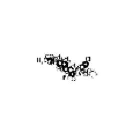 CC(=O)O[C@@H](CN(CCN(C)C)Cc1cccc(Cl)c1)[C@@]12CC[C@]3(C)[C@H](CC[C@@H]4[C@@]5(C)CC[C@H](OC(=O)CC(C)(C)C(=O)O)C(C)(C)[C@@H]5CC[C@]43C)C1=C(C(C)C)C(=O)C2